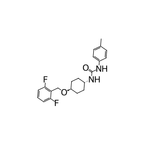 Cc1ccc(NC(=O)N[C@H]2CC[C@H](OCc3c(F)cccc3F)CC2)cc1